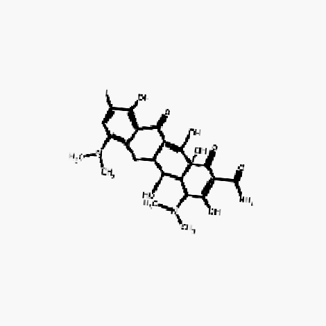 CN(C)c1cc(I)c(O)c2c1CC1C(=C(O)[C@]3(O)C(=O)C(C(N)=O)=C(O)C(N(C)C)C3C1O)C2=O